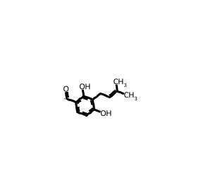 CC(C)=CCc1c(O)ccc([C]=O)c1O